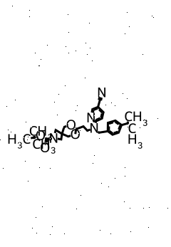 CC(C)c1ccc(CN(CCC2OCC3(CO2)CN(C(=O)OC(C)(C)C)C3)c2ccc(C#N)cn2)cc1